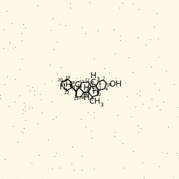 C[C@H]1C=C2C[C@@H](O)CC[C@]2(C)[C@H]2CC[C@]3(C)C(c4cccnc4)=CC[C@H]3[C@H]12